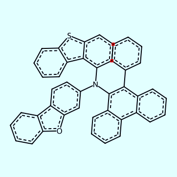 c1ccc(-c2c(N(c3ccc4c(c3)oc3ccccc34)c3cccc4sc5ccccc5c34)c3ccccc3c3ccccc23)cc1